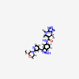 CC[C@@H]1CN(c2cc(-c3n[nH]c4ccc(NC(=O)C5=C(C)N(C)c6nnnn6[C@H]5C)cc34)ccn2)CCO1